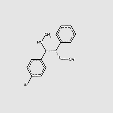 CNC(c1ccc(Br)cc1)[C@@H](CO)c1ccccc1